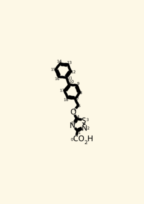 O=C(O)c1nsc(OCc2ccc(-c3ccccc3)cc2)n1